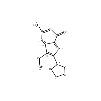 CC1=NC(=O)C2=NC(N3CCCC3)=C(CO)C2=N1